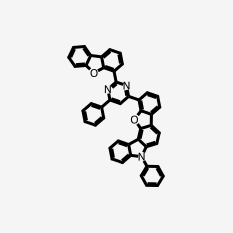 c1ccc(-c2cc(-c3cccc4c3oc3c4ccc4c3c3ccccc3n4-c3ccccc3)nc(-c3cccc4c3oc3ccccc34)n2)cc1